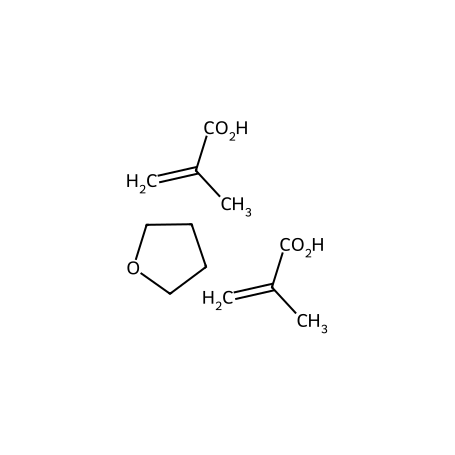 C1CCOC1.C=C(C)C(=O)O.C=C(C)C(=O)O